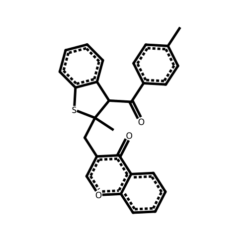 Cc1ccc(C(=O)C2c3ccccc3SC2(C)Cc2coc3ccccc3c2=O)cc1